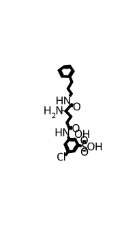 N[C@@H](CCC(=O)Nc1cc(Cl)cc(S(=O)(=O)O)c1O)C(=O)NCCCc1ccccc1